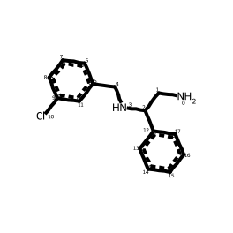 NCC(NCc1cccc(Cl)c1)c1ccccc1